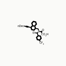 CCCCCCCCCCC#Cc1ccc(CN(C(=O)C(=O)O)C(CC)c2ccc(C(F)(F)F)cc2)c2ccccc12